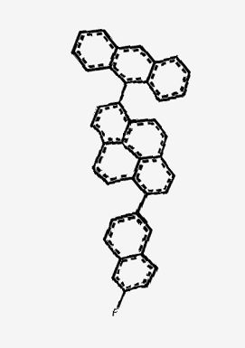 Fc1ccc2cc(-c3ccc4ccc5c(-c6c7ccccc7cc7ccccc67)ccc6ccc3c4c65)ccc2c1